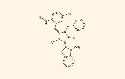 CCNc1ccc(C(C)=O)cc1N=C1N(Cc2ccccc2)C(=O)/C(=C2/Sc3ccccc3N2C)N1C